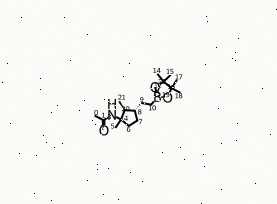 CC(=O)NC1(C)CC[C@@H](CCB2OC(C)(C)C(C)(C)O2)[C@@H]1C